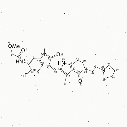 COCC(=O)Nc1cc2c(cc1F)C(=Cc1[nH]c3c(c1C)C(=O)N(CCN1CCCC1)CC3)C(=O)N2